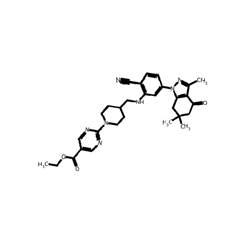 CCOC(=O)c1cnc(N2CCC(CNc3cc(-n4nc(C)c5c4CC(C)(C)CC5=O)ccc3C#N)CC2)nc1